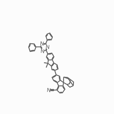 CC1(C)c2cc(-c3ccc4c(c3)C3(c5cccc(C#N)c5-4)C4CC5CC(C4)CC3C5)ccc2-c2ccc(-c3nc(-c4ccccc4)nc(-c4ccccc4)n3)cc21